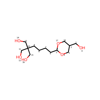 OCC1COC(CCCCC(CO)(CO)CO)OC1